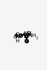 CS(=O)(=O)Nc1ccc(-c2c[nH]c3c(C(N)=O)cc(-c4ccccc4)cc23)cc1